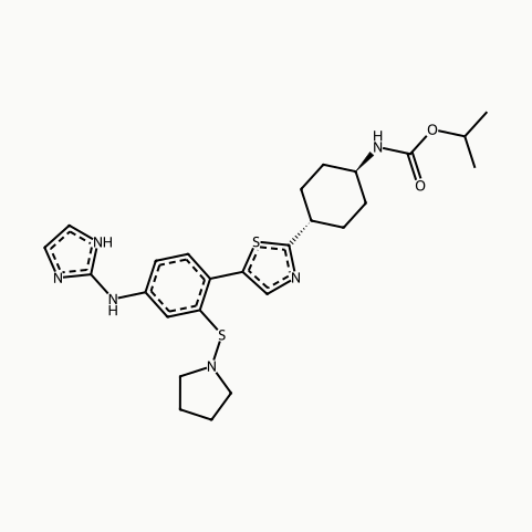 CC(C)OC(=O)N[C@H]1CC[C@H](c2ncc(-c3ccc(Nc4ncc[nH]4)cc3SN3CCCC3)s2)CC1